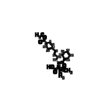 COC(=O)c1ccc(C=CCC[C@@H]2[C@@H](c3ccccc3)OC(C)(C)N2C(=O)O)cc1